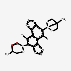 CC12CO[B-](c3c(F)c4c5nsnc5c([B-]56OCC(C)(CO5)CO6)c(F)c4c4nsnc34)(OC1)OC2